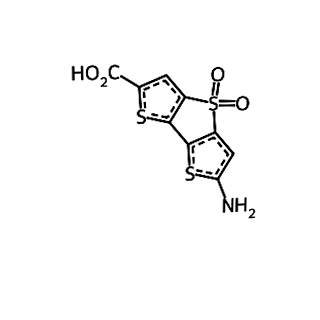 Nc1cc2c(s1)-c1sc(C(=O)O)cc1S2(=O)=O